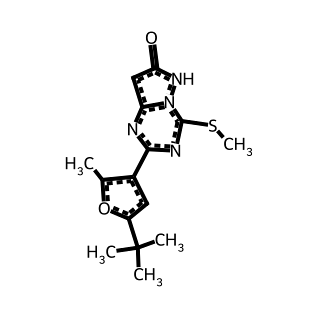 CSc1nc(-c2cc(C(C)(C)C)oc2C)nc2cc(=O)[nH]n12